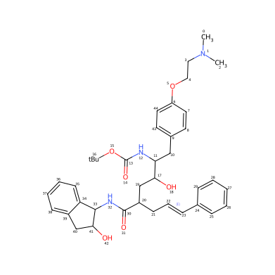 CN(C)CCOc1ccc(CC(NC(=O)OC(C)(C)C)C(O)CC(C/C=C/c2ccccc2)C(=O)NC2c3ccccc3CC2O)cc1